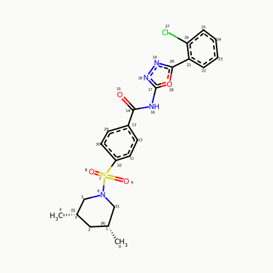 C[C@@H]1C[C@H](C)CN(S(=O)(=O)c2ccc(C(=O)Nc3nnc(-c4ccccc4Cl)o3)cc2)C1